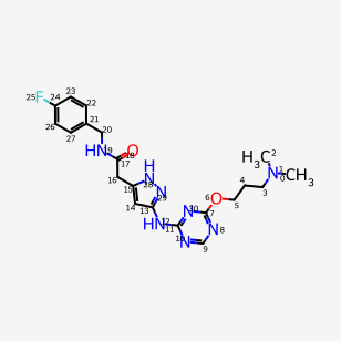 CN(C)CCCOc1ncnc(Nc2cc(CC(=O)NCc3ccc(F)cc3)[nH]n2)n1